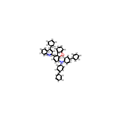 c1ccc(-c2ccc(N(c3ccc(-c4ccccc4)cc3)c3ccc(-c4cc(-c5ccccc5)c5ccccc5n4)c4c3oc3ccccc34)cc2)cc1